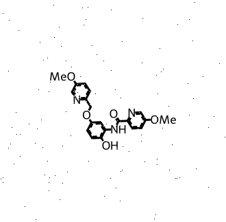 COc1ccc(COc2ccc(O)c(NC(=O)c3ccc(OC)cn3)c2)nc1